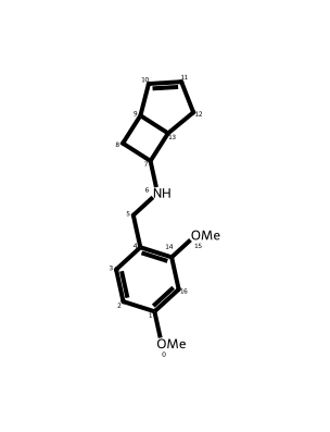 COc1ccc(CNC2CC3C=CCC32)c(OC)c1